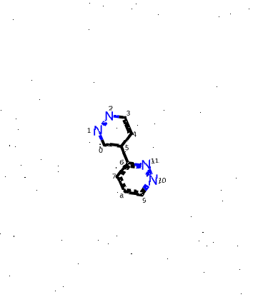 [C]1N=NC=CC1c1cccnn1